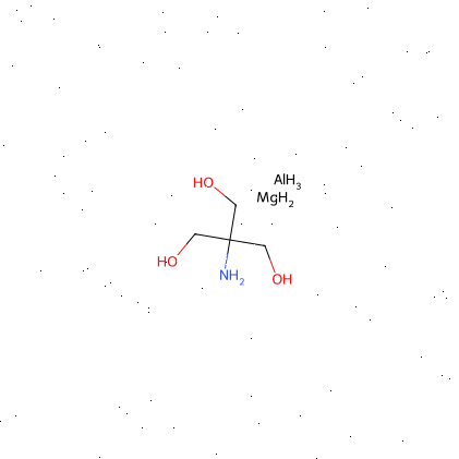 NC(CO)(CO)CO.[AlH3].[MgH2]